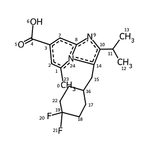 Cc1cc(C(=O)O)cc2nc(C(C)C)c(CC3CCC(F)(F)CC3)n12